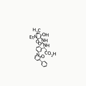 CCn1cc(C)c(O)c(NC(=O)NC(CC(=O)O)c2cccc(-n3cccc(-c4ccccc4)c3=O)c2)c1=O